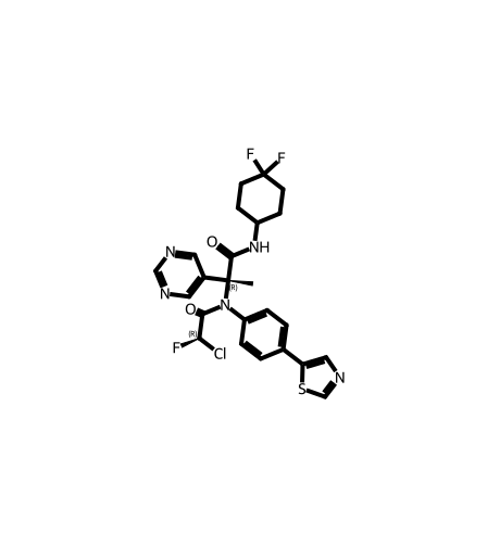 C[C@](C(=O)NC1CCC(F)(F)CC1)(c1cncnc1)N(C(=O)[C@H](F)Cl)c1ccc(-c2cncs2)cc1